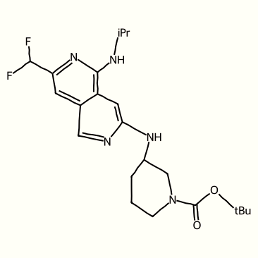 CC(C)Nc1nc(C(F)F)cc2cnc(NC3CCCN(C(=O)OC(C)(C)C)C3)cc12